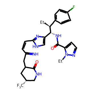 CC[C@@H](c1ccc(F)cc1)[C@H](NC(=O)c1ccnn1CC)c1c[nH]c(/C=C\C(=N)CC2C[C@@H](C(F)(F)F)CNC2=O)n1